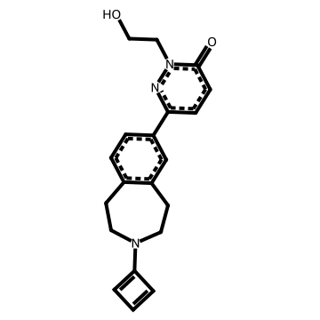 O=c1ccc(-c2ccc3c(c2)CCN(C2=CC=C2)CC3)nn1CCO